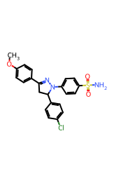 COc1ccc(C2=NN(c3ccc(S(N)(=O)=O)cc3)C(c3ccc(Cl)cc3)C2)cc1